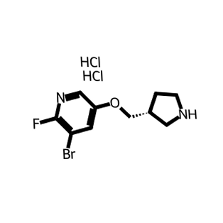 Cl.Cl.Fc1ncc(OC[C@@H]2CCNC2)cc1Br